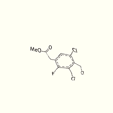 COC(=O)Cc1cc(Cl)c(CCl)c(Cl)c1F